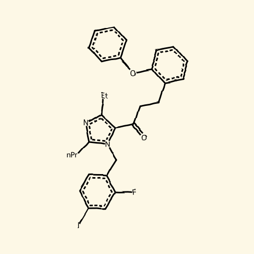 CCCc1nc(CC)c(C(=O)CCc2ccccc2Oc2ccccc2)n1Cc1ccc(I)cc1F